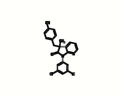 CC1(Cc2ccc(C#N)cc2)C(=O)N(c2cc(Cl)cc(Cl)c2)c2ncccc21